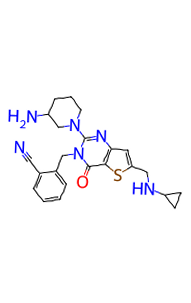 N#Cc1ccccc1Cn1c(N2CCCC(N)C2)nc2cc(CNC3CC3)sc2c1=O